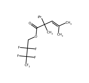 CC(C)=CC(C)(C(=O)OCC(F)(F)C(F)(F)C(F)(F)F)C(C)C